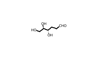 O=CCC[C@H](O)[C@H](O)CO